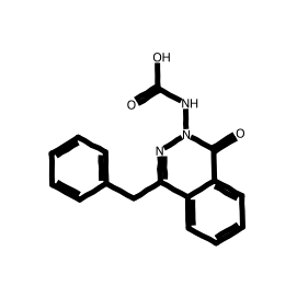 O=C(O)Nn1nc(Cc2ccccc2)c2ccccc2c1=O